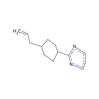 C=CCC1CCC(c2ncccn2)CC1